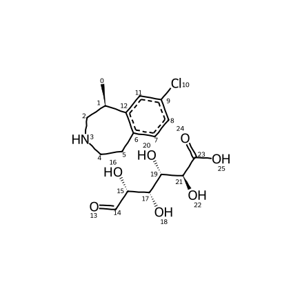 C[C@@H]1CNCCc2ccc(Cl)cc21.O=C[C@H](O)[C@@H](O)[C@H](O)[C@H](O)C(=O)O